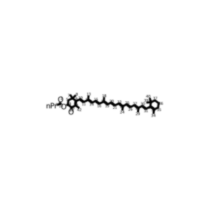 CCCC(=O)OC1CC(C)(C)C(/C=C/C(C)=C/C=C/C(C)=C/C=C/C=C(C)/C=C/C=C(C)/C=C/C2=C(C)CCCC2(C)C)=C(C)C1=O